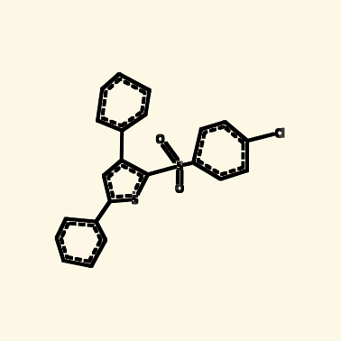 O=S(=O)(c1ccc(Cl)cc1)c1sc(-c2ccccc2)cc1-c1ccccc1